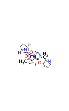 Cc1ncccc1Oc1ncnc2c1ccn2C1C[C@@H]2CC[C@@H](C1)N2C(=O)OC(C)(C)C